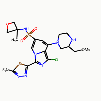 COCC1CN(c2cc(S(=O)(=O)NC3(C)COC3)cn3c(-c4nnc(C(F)(F)F)s4)nc(Cl)c23)CCN1